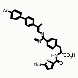 C=N/C(=N\C=C(/C)c1ccc(-c2ccc(C(C)=O)cc2)cc1)c1ccc(C[C@H](NC(=O)c2ccc(C(C)(C)C)s2)C(=O)O)cc1